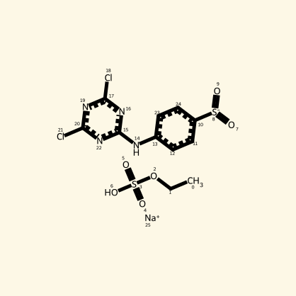 CCOS(=O)(=O)O.O=[S-](=O)c1ccc(Nc2nc(Cl)nc(Cl)n2)cc1.[Na+]